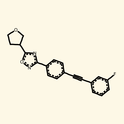 Fc1cccc(C#Cc2ccc(-c3noc(C4CCOC4)n3)cc2)c1